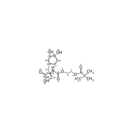 CC(C)(C)C(=O)OCCOC(=O)N[C@@](C)(Cc1ccc(O)c(O)c1)C(=O)O